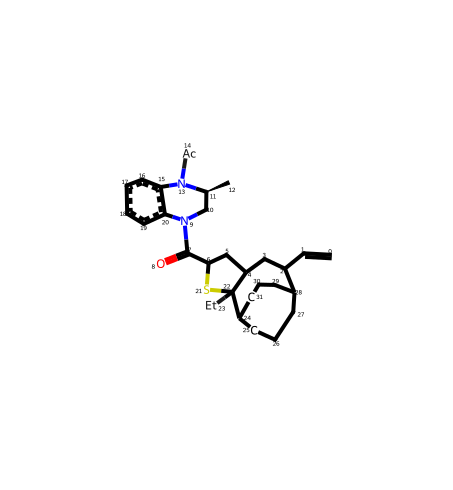 C=CC1CC2CC(C(=O)N3C[C@H](C)N(C(C)=O)c4ccccc43)SC2(CC)C2CCCC1CCC2